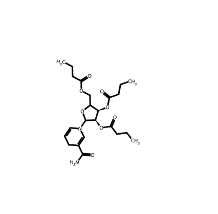 CCCC(=O)OCC1OC(N2C=CCC(C(N)=O)=C2)[C@H](OC(=O)CCC)[C@@H]1OC(=O)CCC